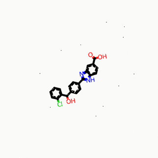 O=C(O)c1ccc2[nH]c(-c3ccc(C(O)c4ccccc4Cl)cc3)nc2c1